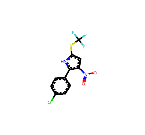 O=[N+]([O-])c1cc(SC(F)(F)F)[nH]c1-c1ccc(Cl)cc1